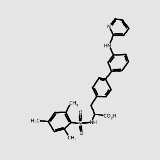 Cc1cc(C)c(S(=O)(=O)N[C@@H](Cc2ccc(-c3cccc(Nc4ccccn4)c3)cc2)C(=O)O)c(C)c1